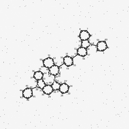 c1ccc(-n2c3ccccc3c3cc(-c4ccc(-c5nc(-n6c7ccccc7c7ccc8c(c9ccccc9n8-c8ccccc8)c76)nc6ccccc56)cc4)ccc32)cc1